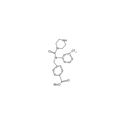 COC(=O)c1ccc(CN(C(=O)N2CCNCC2)c2cccc(C(F)(F)F)c2)cc1